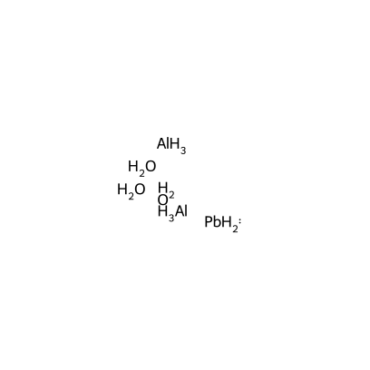 O.O.O.[AlH3].[AlH3].[PbH2]